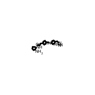 Nc1ccccc1NC(=O)/C=C/c1ccc(CNc2ccc(Cc3nnn[nH]3)cc2)cc1